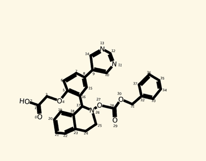 O=C(O)COc1ccc(-c2cncnc2)cc1C1c2ccccc2CCN1OC(=O)OCc1ccccc1